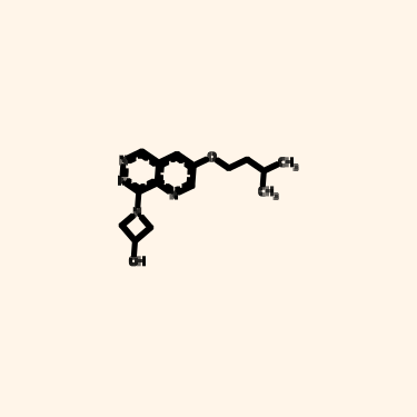 CC(C)CCOc1cnc2c(N3CC(O)C3)nncc2c1